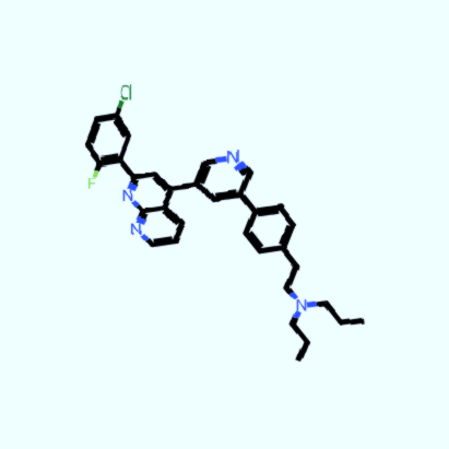 CCCN(CCC)CCc1ccc(-c2cncc(-c3cc(-c4cc(Cl)ccc4F)nc4ncccc34)c2)cc1